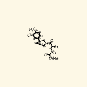 CCC(CNC(=O)OC)C(=O)N1CC2CC2(c2ccc(C)c(Cl)c2)C1